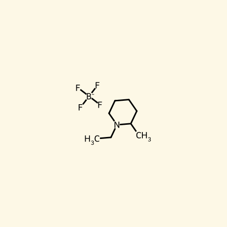 CCN1CCCCC1C.F[B-](F)(F)F